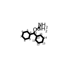 N[SiH2]OC(C1CCCCC1)C1CCCCC1